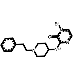 CCn1ccnc(NC2CCN(CCc3ccccc3)CC2)c1=O